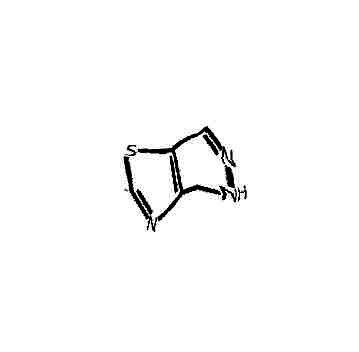 [c]1nc2[nH]ncc2s1